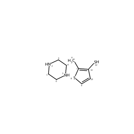 C1CNCCN1.Cc1sccc1S